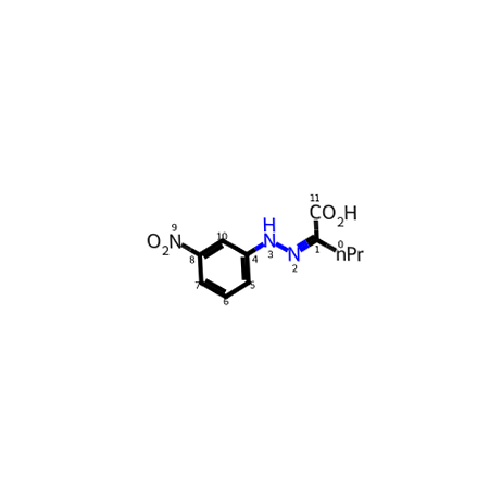 CCCC(=NNc1cccc([N+](=O)[O-])c1)C(=O)O